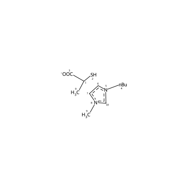 CC(S)C(=O)[O-].CCCCn1cc[n+](C)c1